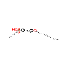 CCCCCCCCCCCCCCCCOc1ccc(C=Cc2ccc(S(=O)(=O)C(O)CCCCCCC)cc2)cc1